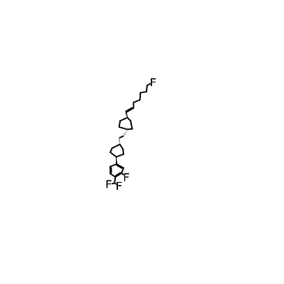 FCCCCCC=C[C@H]1CC[C@H](CC[C@H]2CC[C@H](c3ccc(C(F)F)c(F)c3)CC2)CC1